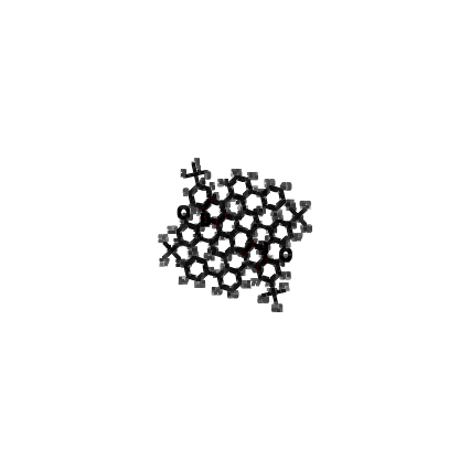 CC(C)(C)c1ccc2c(c1)Oc1cc(C(C)(C)C)cc3c1B2c1cc2c(-c4c(-c5ccccc5)cccc4-c4ccccc4)cc4c5c(cc6c(-c7c(-c8ccccc8)cccc7-c7ccccc7)cc-3c1c6c25)B1c2ccc(C(C)(C)C)cc2Oc2cc(C(C)(C)C)cc-4c21